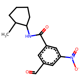 CC1CCCCC1NC(=O)c1cc(C=O)cc([N+](=O)[O-])c1